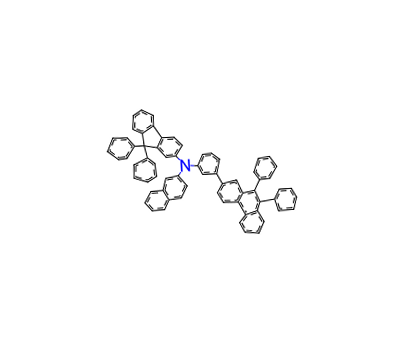 c1ccc(-c2c(-c3ccccc3)c3cc(-c4cccc(N(c5ccc6c(c5)C(c5ccccc5)(c5ccccc5)c5ccccc5-6)c5ccc6ccccc6c5)c4)ccc3c3ccccc23)cc1